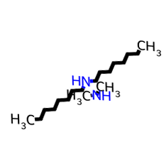 CCCCCCCCNCCCCCCCC.CNC